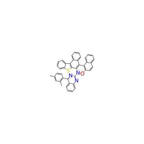 Cc1ccc(-c2nc(N3Oc4ccc5ccccc5c4-c4c3c3sc5ccccc5c3c3ccccc43)nc3ccccc23)c(C)c1